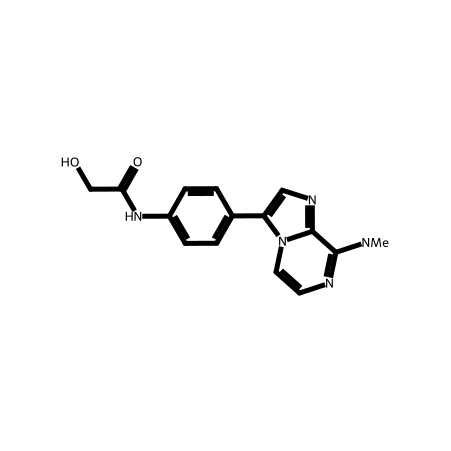 CNc1nccn2c(-c3ccc(NC(=O)CO)cc3)cnc12